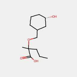 CCCC(C)(OCC1CCC[C@H](O)C1)C(=O)O